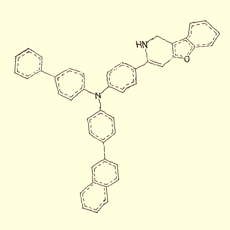 C1=C(c2ccc(N(c3ccc(-c4ccccc4)cc3)c3ccc(-c4ccc5ccccc5c4)cc3)cc2)NCc2c1oc1ccccc21